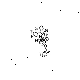 C/C(OC(=O)OCCS(C)(=O)=O)=C1/C(=O)N2CCOC[C@H]2N([C@@H]2c3ccccc3SCc3c2ccc(F)c3F)N1/C=C\C=O